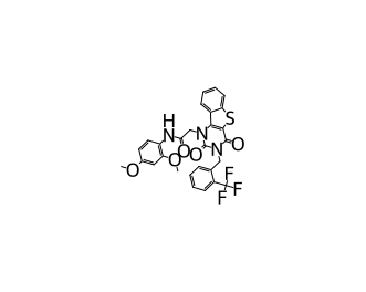 COc1ccc(NC(=O)Cn2c(=O)n(Cc3ccccc3C(F)(F)F)c(=O)c3sc4ccccc4c32)c(OC)c1